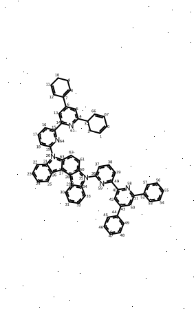 C1=CCC(c2cc(C3=CCCC=C3)cc(-c3cccc(-n4c5ccccc5c5c6c7ccccc7n(-c7cccc(-c8cc(-c9ccccc9)cc(-c9ccccc9)n8)n7)c6ccc54)n3)n2)C=C1